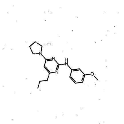 [CH][C@H]1CCCN1c1cc(CCC)nc(Nc2cccc(OC)c2)n1